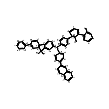 Cc1ccccc1-c1cccc(-c2ccc(N(c3ccc(-c4ccc5ccccc5c4)cc3)c3ccc4c(c3)C(C)(C)c3cc(-c5ccccc5)ccc3-4)cc2)c1C